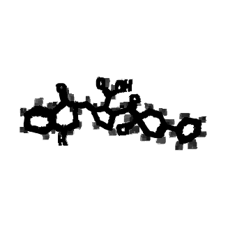 O=C(O)C1C(CN2CNc3ccccc3C2=O)CCC1C(=O)[C@]1(Cl)C=CC(c2ccccc2)=CC1